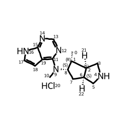 C[C@@H]1[C@H]2CNC[C@H]2C[C@@H]1N(C)c1ncnc2[nH]ccc12.Cl